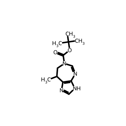 CC1CN(C(=O)OC(C)(C)C)C=Nc2[nH]cnc21